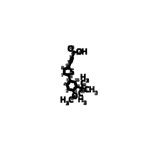 COc1ccc(-c2ccc(C#CC(=O)O)s2)cc1C(C)(C)C